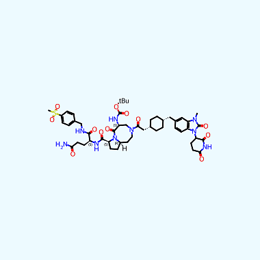 Cn1c(=O)n(C2CCC(=O)NC2=O)c2ccc(C[C@H]3CC[C@@H](CC(=O)N4CC[C@H]5CC[C@@H](C(=O)N[C@@H](CCC(N)=O)C(=O)NCc6ccc(S(C)(=O)=O)cc6)N5C(=O)[C@@H](NC(=O)OC(C)(C)C)C4)CC3)cc21